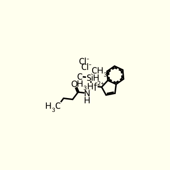 CCCC(=O)[NH][Hf+2]([CH]1C=Cc2ccccc21)[SiH](C)C.[Cl-].[Cl-]